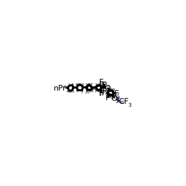 CCCC1CCC(C2CCC(c3ccc(-c4cc(F)c(C(F)(F)Oc5cc(F)c(O/C=C/C(F)(F)F)c(F)c5)c(F)c4)cc3)CC2)CC1